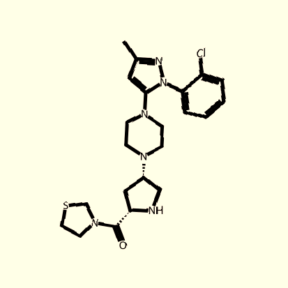 Cc1cc(N2CCN([C@@H]3CN[C@H](C(=O)N4CCSC4)C3)CC2)n(-c2ccccc2Cl)n1